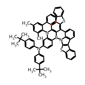 Cc1cc(C)c(N2c3cc(N(c4ccc(C(C)(C)C)cc4)c4ccc(C(C)(C)C)cc4)ccc3B3c4c2cc2c(sc5ccccc52)c4-c2cccc4c5c6ccccc6sc5n3c24)c(-c2ccccc2)c1